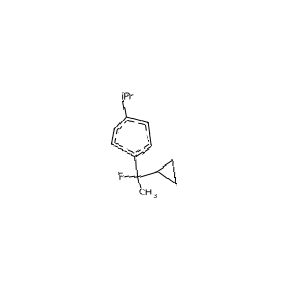 CC(C)c1ccc(C(C)(F)C2CC2)cc1